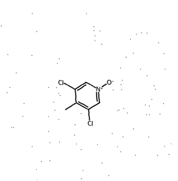 Cc1c(Cl)c[n+]([O-])cc1Cl